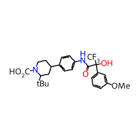 COc1cccc(C(O)(C(=O)Nc2ccc(C3CCN(C(=O)O)C(C(C)(C)C)C3)cc2)C(F)(F)F)c1